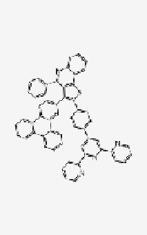 c1ccc(-c2nc3ccccc3c3sc(-c4ccc(-c5cc(-c6ccccn6)nc(-c6ccccn6)c5)cc4)c(-c4ccc5c6ccccc6c6ccccc6c5c4)c23)cc1